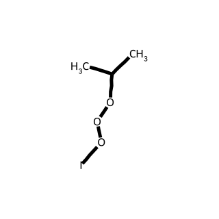 CC(C)OOOI